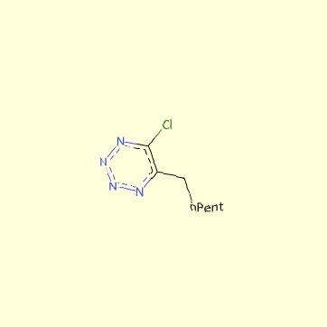 CCCCCCc1nnnnc1Cl